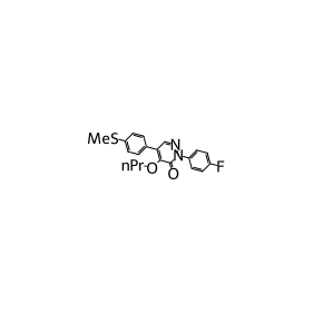 CCCOc1c(-c2ccc(SC)cc2)cnn(-c2ccc(F)cc2)c1=O